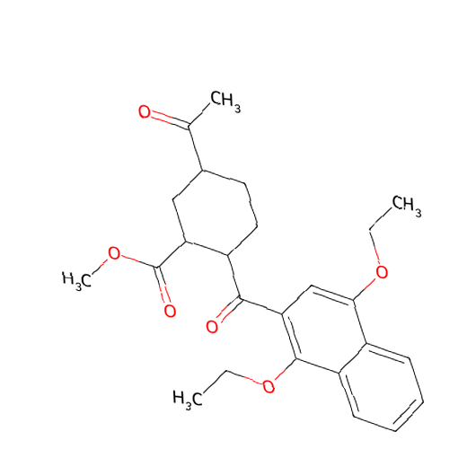 CCOc1cc(C(=O)C2CCC(C(C)=O)CC2C(=O)OC)c(OCC)c2ccccc12